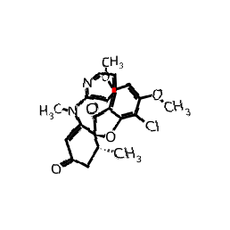 COc1cc(OC)c2c(c1Cl)O[C@]1(C2=O)C(N(C)c2ccccn2)=CC(=O)C[C@H]1C